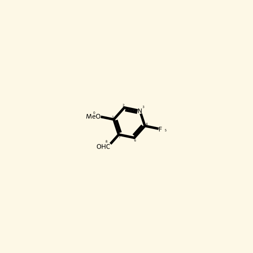 COc1cnc(F)cc1C=O